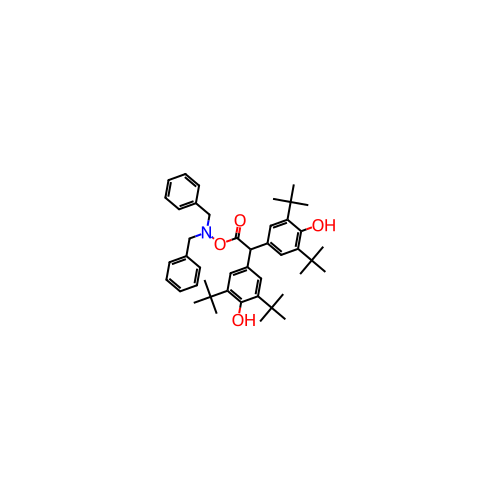 CC(C)(C)c1cc(C(C(=O)ON(Cc2ccccc2)Cc2ccccc2)c2cc(C(C)(C)C)c(O)c(C(C)(C)C)c2)cc(C(C)(C)C)c1O